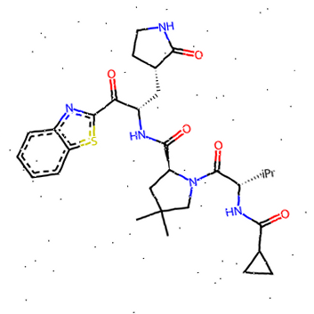 CC(C)[C@H](NC(=O)C1CC1)C(=O)N1CC(C)(C)C[C@H]1C(=O)N[C@@H](C[C@@H]1CCNC1=O)C(=O)c1nc2ccccc2s1